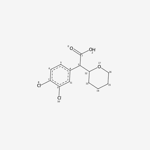 O=C(O)C(c1ccc(Cl)c(Cl)c1)C1CCCCO1